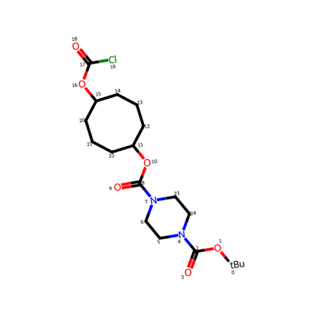 CC(C)(C)OC(=O)N1CCN(C(=O)OC2CCCC(OC(=O)Cl)CCC2)CC1